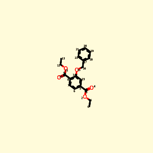 CCOC(=O)c1ccc(C(=O)OCC)c(OCc2ccccc2)c1